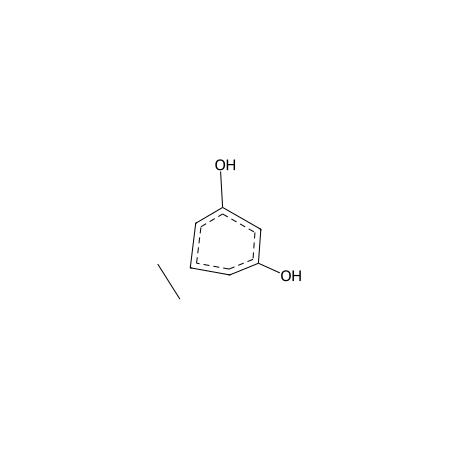 CC.Oc1cccc(O)c1